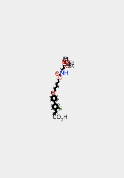 CCO[Si](CCCNC(=O)OCCCCCCOc1ccc(-c2ccc(/C=C/C(=O)O)c(F)c2)cc1)(OCC)OCC